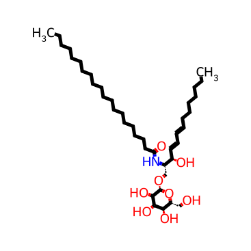 CCCCCCC/C=C/C=C/[C@@H](O)[C@H](CO[C@@H]1O[C@H](CO)[C@@H](O)C(O)C1O)NC(=O)CCCCCCCCCCCCCCCCCCC